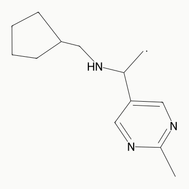 [CH2]C(NCC1CCCC1)c1cnc(C)nc1